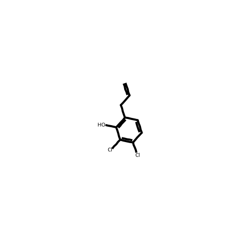 C=CCc1ccc(Cl)c(Cl)c1O